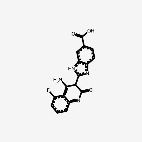 NC1=c2c(F)cccc2=NC(=O)C1c1nc2ccc(C(=O)O)cc2[nH]1